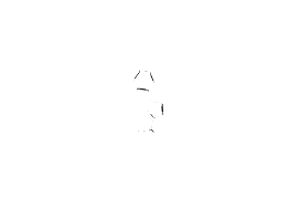 Cc1cc(F)ccc1-n1ccc(C(N)=O)n1